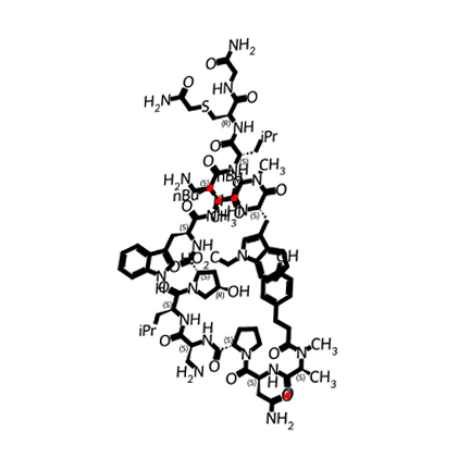 CCCC[C@@H](C(=O)N(C)[C@@H](CCCC)C(=O)N[C@@H](CC(C)C)C(=O)N[C@@H](CSCC(N)=O)C(=O)NCC(N)=O)N(C)C(=O)[C@H](Cc1cn(CC(=O)O)c2ccccc12)NC(=O)[C@H](CCN)NC(=O)[C@H](Cc1c[nH]c2ccccc12)NC(=O)[C@@H]1C[C@@H](O)CN1C(=O)[C@H](CC(C)C)NC(=O)[C@H](CN)NC(=O)[C@@H]1CCCN1C(=O)[C@H](CC(N)=O)NC(=O)[C@H](C)N(C)C(=O)CCc1ccc(O)cc1